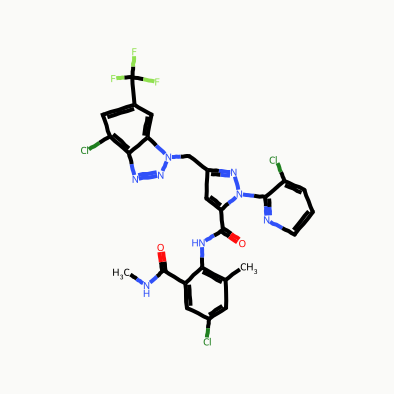 CNC(=O)c1cc(Cl)cc(C)c1NC(=O)c1cc(Cn2nnc3c(Cl)cc(C(F)(F)F)cc32)nn1-c1ncccc1Cl